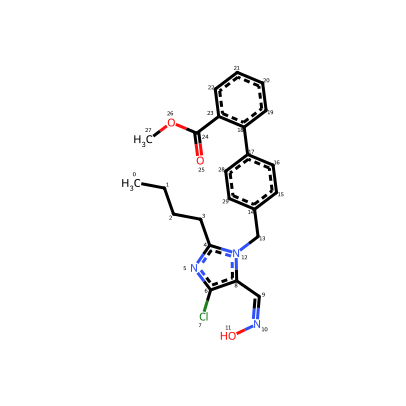 CCCCc1nc(Cl)c(/C=N\O)n1Cc1ccc(-c2ccccc2C(=O)OC)cc1